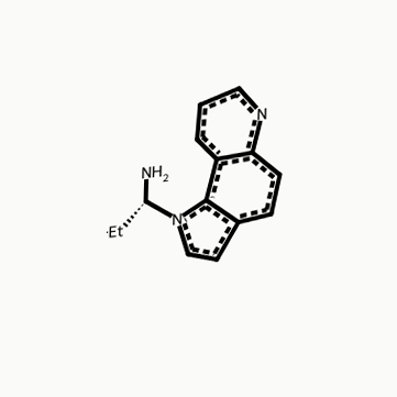 C[CH][C@H](N)n1ccc2ccc3ncccc3c21